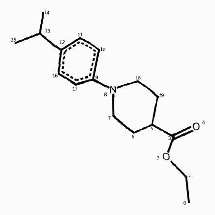 CCOC(=O)C1CCN(c2ccc(C(C)C)cc2)CC1